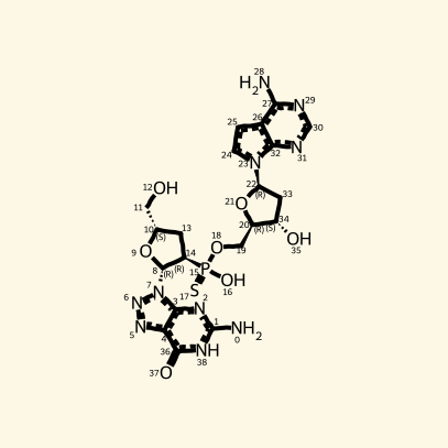 Nc1nc2c(nnn2[C@@H]2O[C@H](CO)C[C@H]2P(O)(=S)OC[C@H]2O[C@@H](n3ccc4c(N)ncnc43)C[C@@H]2O)c(=O)[nH]1